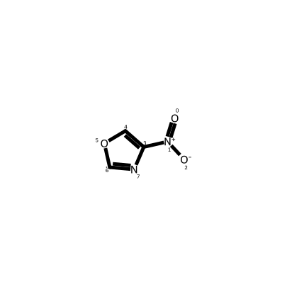 O=[N+]([O-])c1co[c]n1